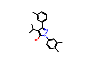 Cc1cccc(-c2nn(-c3ccc(C)c(C)c3)c(O)c2C(C)C)c1